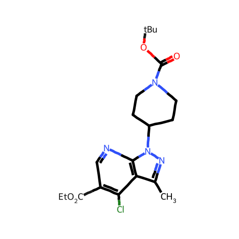 CCOC(=O)c1cnc2c(c(C)nn2C2CCN(C(=O)OC(C)(C)C)CC2)c1Cl